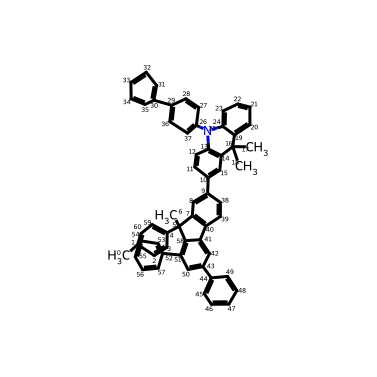 Cc1ccc(C2(C)c3cc(-c4ccc5c(c4)C(C)(C)c4ccccc4N5c4ccc(-c5ccccc5)cc4)ccc3-c3cc(-c4ccccc4)cc(-c4ccccc4)c32)cc1